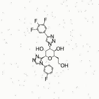 OCC[C@H]1O[C@@H](c2nncn2-c2cccc(F)c2)[C@H](O)[C@@H](n2cc(-c3cc(F)c(F)c(F)c3)nn2)[C@H]1O